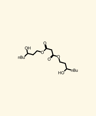 CCCCC(O)CCOC(=O)CC(=O)OCCC(O)CCCC